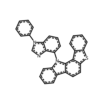 c1ccc(-n2cnc3c(-n4c5ccccc5c5ccc6sc7ccccc7c6c54)cccc32)cc1